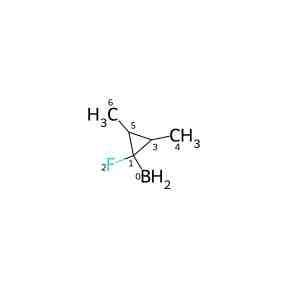 BC1(F)C(C)C1C